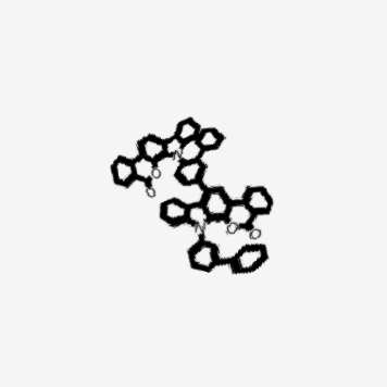 O=c1oc2c(ccc3c4ccccc4n(-c4ccc(-c5cc6c7ccccc7c(=O)oc6c6c5c5ccccc5n6-c5cccc(-c6ccccc6)c5)cc4-c4ccccc4)c32)c2ccccc12